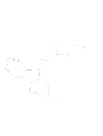 CC1C=CC2=C(C1)C(COC(=O)NCC(O)O)c1ccccc12